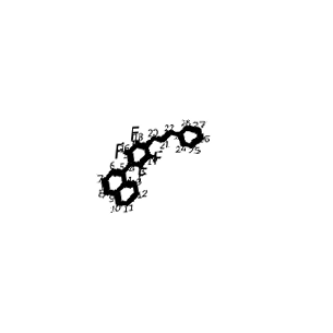 Fc1c(F)c(-c2cccc3ccccc23)c(F)c(F)c1CC=Cc1ccccc1